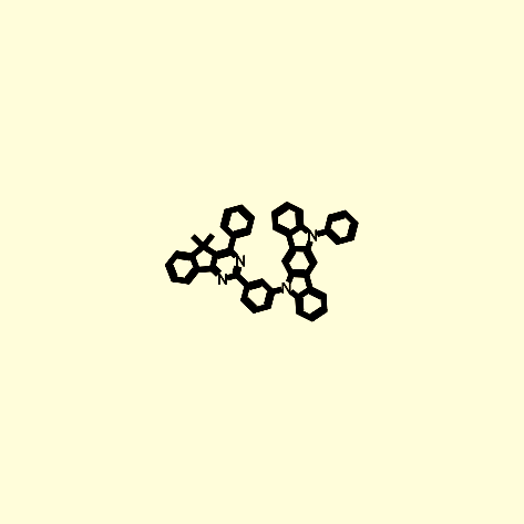 CC1(C)c2ccccc2-c2nc(-c3cccc(-n4c5ccccc5c5cc6c(cc54)c4ccccc4n6-c4ccccc4)c3)nc(-c3ccccc3)c21